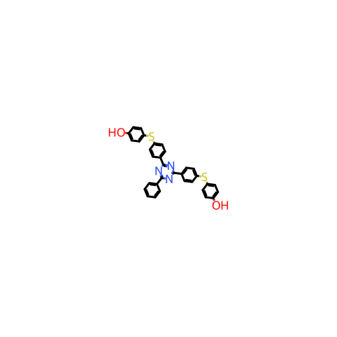 Oc1ccc(Sc2ccc(-c3nc(-c4ccccc4)nc(-c4ccc(Sc5ccc(O)cc5)cc4)n3)cc2)cc1